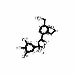 NCc1ccc(C2=NOC(c3cc(Cl)c(F)c(Cl)c3)(C(F)(F)F)C2)c2c1OCC2